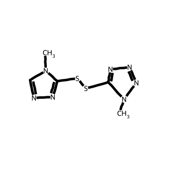 Cn1cnnc1SSc1nnnn1C